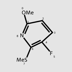 COc1ccc(F)c(SC)n1